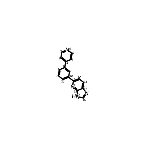 c1cc(-c2ccncc2)cc(-c2ccc3nc[nH]c3n2)c1